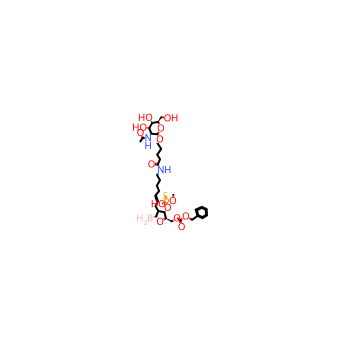 B[C@@H]1O[C@H](COC(=O)OCc2ccccc2)[C@H](OP(O)(=S)OC)C1C/C=C/CCCCNC(=O)CCCCO[C@@H]1O[C@H](CO)[C@H](O)[C@H](O)[C@H]1NC(C)=O